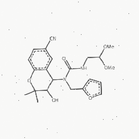 COC(CNC(=O)N(Cc1ccco1)C1c2cc(C#N)ccc2OC(C)(C)C1O)OC